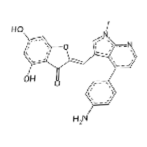 Cn1cc(C=C2Oc3cc(O)cc(O)c3C2=O)c2c(-c3ccc(N)cc3)ccnc21